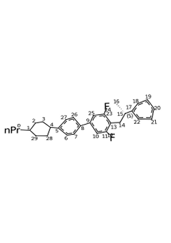 CCCC1CCC(c2ccc(-c3cc(F)c(C[C@H](C)c4ccccc4)c(F)c3)cc2)CC1